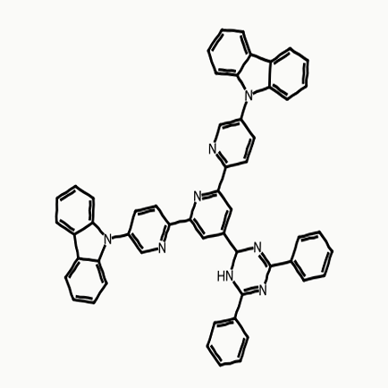 c1ccc(C2=NC(c3cc(-c4ccc(-n5c6ccccc6c6ccccc65)cn4)nc(-c4ccc(-n5c6ccccc6c6ccccc65)cn4)c3)NC(c3ccccc3)=N2)cc1